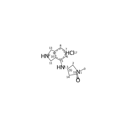 CN1C[C@@H](Nc2cccc3c2CNC3)CC1=O.Cl